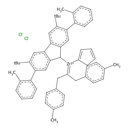 Cc1ccc(C[C](Cc2ccc(C)cc2)=[Zr+2]([C]2=CC=CC2)[CH]2c3cc(-c4ccccc4C)c(C(C)(C)C)cc3-c3cc(C(C)(C)C)c(-c4ccccc4C)cc32)cc1.[Cl-].[Cl-]